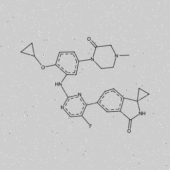 CN1CCN(c2ccc(OC3CC3)c(Nc3ncc(F)c(-c4ccc5c(c4)C(=O)NC54CC4)n3)c2)C(=O)C1